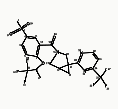 CC(Oc1ccc(S(C)(=O)=O)cc1C(=O)N1CC2CC2(c2nccc(C(F)(F)F)n2)C1)C(F)(F)F